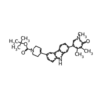 Cc1c(-c2ccc3c(c2)[nH]c2ccc(C4=CCN(C(=O)OC(C)(C)C)CC4)cc23)cn(C)c(=O)c1C